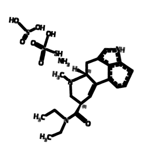 CCN(CC)C(=O)[C@@H]1C=C2c3cccc4[nH]cc(c34)C[C@H]2N(C)C1.N.O=S(=O)(O)S.O=S(O)O